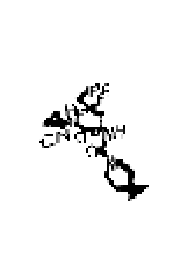 CC(C)CC(F)(F)C[C@H](NC(=O)N1CCC2(CC1)CC2)C(=O)NC1(C#N)CC1